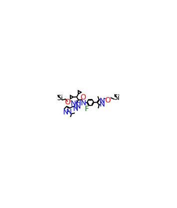 Cc1nn(COCC[Si](C)(C)C)c(C)c1-c1ccc(NC(=O)C(c2nnc(-c3ccnn3C(C)C)n2COCC[Si](C)(C)C)C(C2CC2)C2CC2)c(F)c1